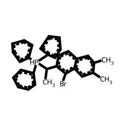 Cc1cc2ccc(C(C)[PH](c3ccccc3)(c3ccccc3)c3ccccc3)c(Br)c2cc1C